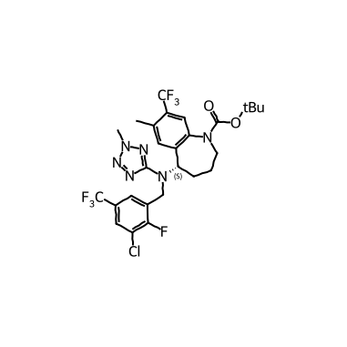 Cc1cc2c(cc1C(F)(F)F)N(C(=O)OC(C)(C)C)CCC[C@@H]2N(Cc1cc(C(F)(F)F)cc(Cl)c1F)c1nnn(C)n1